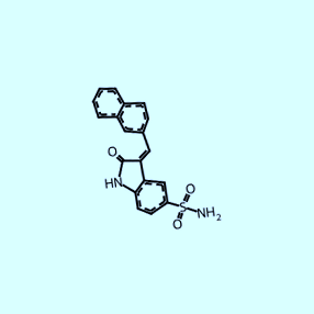 NS(=O)(=O)c1ccc2c(c1)C(=Cc1ccc3ccccc3c1)C(=O)N2